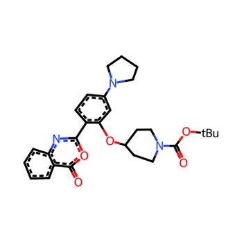 CC(C)(C)OC(=O)N1CCC(Oc2cc(N3CCCC3)ccc2-c2nc3ccccc3c(=O)o2)CC1